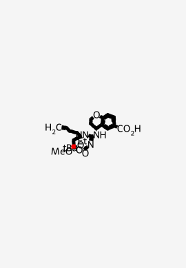 C=CCCC(CC)(CC(=O)OC)N/C(=N\C(=O)OC(C)(C)C)N[C@@H]1CCOc2ccc(C(=O)O)cc21